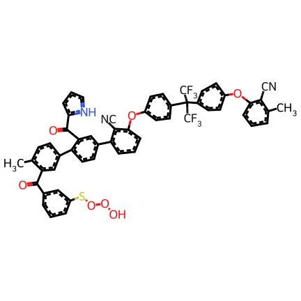 Cc1ccc(-c2ccc(-c3cccc(Oc4ccc(C(c5ccc(Oc6cccc(C)c6C#N)cc5)(C(F)(F)F)C(F)(F)F)cc4)c3C#N)cc2C(=O)c2ccc[nH]2)cc1C(=O)c1cccc(SOOO)c1